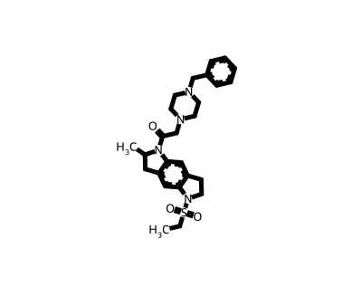 CCS(=O)(=O)N1CCc2cc3c(cc21)CC(C)N3C(=O)CN1CCN(Cc2ccccc2)CC1